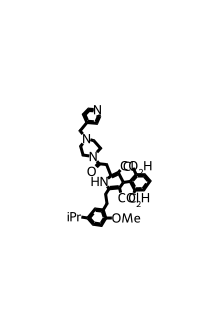 COc1ccc(C(C)C)cc1CCC1=C(C(=O)O)C(c2c(Cl)cccc2Cl)C(C(=O)O)=C(CC(=O)N2CCN(Cc3ccncc3)CC2)N1